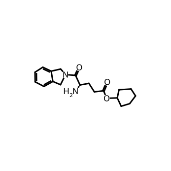 N[C@H](CCC(=O)OC1CCCCC1)C(=O)N1Cc2ccccc2C1